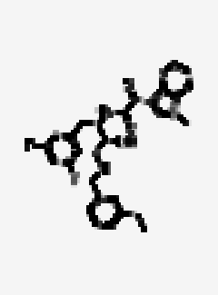 CCc1cccc(CNCC(O)C(Cc2cc(F)cc(F)c2)NC(=O)C(=O)c2cn(C)c3ccccc23)c1